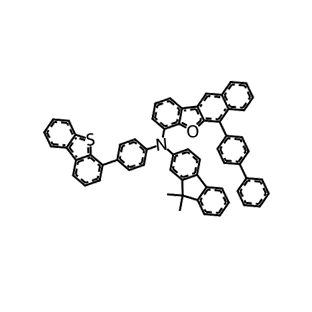 CC1(C)c2ccccc2-c2ccc(N(c3ccc(-c4cccc5c4sc4ccccc45)cc3)c3cccc4c3oc3c(-c5ccc(-c6ccccc6)cc5)c5ccccc5cc34)cc21